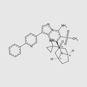 CS(=O)(=O)c1c([C@H]2C[C@H]3CC[C@@H](C2)N3C(=O)C2(O)CC2)nc2c(-c3ccc(-c4ccccc4)nc3)cnn2c1N